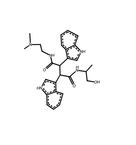 CC(CO)NC(=O)C(c1c[nH]c2ccccc12)C(C(=O)NCCN(C)C)c1c[nH]c2ccccc12